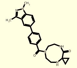 Cc1nn(C)c2ccc(-c3ccc(C(=O)N4CCNC(=O)C5(CC5)NCC4)cc3)cc12